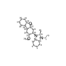 CCN1c2ccccc2N(c2cc3oc4ccccc4c3cc2OC)[C@H]1C